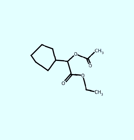 CCOC(=O)C(OC(C)=O)C1CCCCC1